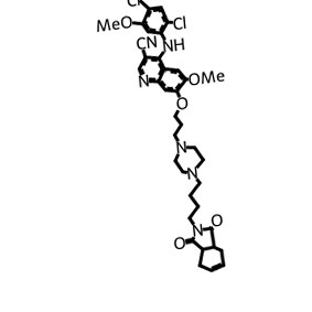 COc1cc(Nc2c(C#N)cnc3cc(OCCCN4CCN(CCCCN5C(=O)C6CC=CCC6C5=O)CC4)c(OC)cc23)c(Cl)cc1Cl